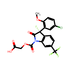 COc1ccc(Cl)cc1[C@]1(F)C(=O)N(C(=O)OCC(=O)O)c2cc(C(F)(F)F)ccc21